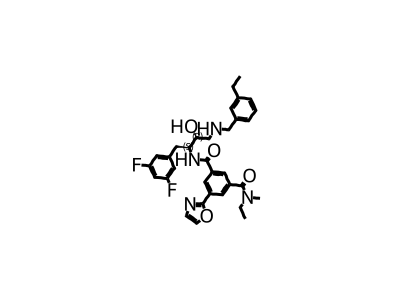 CCc1cccc(CNC[C@@H](O)[C@H](Cc2cc(F)cc(F)c2)NC(=O)c2cc(C(=O)N(C)CC)cc(-c3ncco3)c2)c1